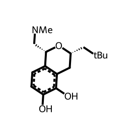 CNC[C@@H]1O[C@H](CC(C)(C)C)Cc2c1ccc(O)c2O